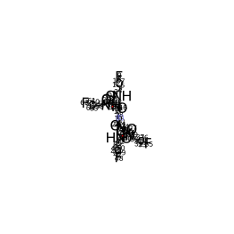 O=C(NCCc1ccc(F)cc1)C1CN(C(=O)C/C=C/CC(=O)N2C[C@@H](C(=O)NCCc3ccc(F)cc3)[C@H](C(=O)NCCc3ccc(F)cc3)C2)CC1C(=O)NCCc1ccc(F)cc1